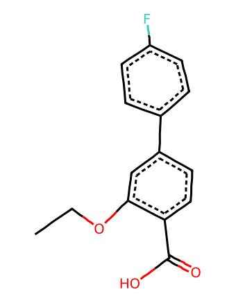 CCOc1cc(-c2ccc(F)cc2)ccc1C(=O)O